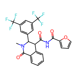 CN1C(=O)c2ccccc2C(C(=O)NC(=O)c2ccco2)C1c1cc(C(F)(F)F)cc(C(F)(F)F)c1